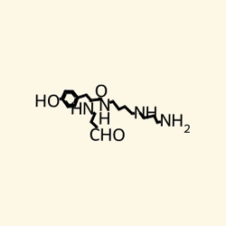 NCCCNCCCCNC(=O)C(Cc1ccc(O)cc1)NCCCC=O